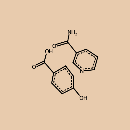 NC(=O)c1cccnc1.O=C(O)c1ccc(O)cc1